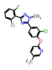 Cn1nc(-c2c(F)cccc2Cl)nc1-c1ccc(Oc2ccc(C(F)(F)F)cn2)c(Cl)c1